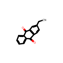 N#CCc1ccc2c(c1)C(=O)c1ccccc1C2=O